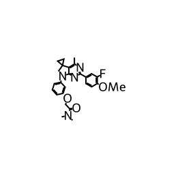 COc1ccc(-c2nc(C)c3c(n2)N(c2cccc(OCC(=O)N(C)C)c2)CC32CC2)cc1F